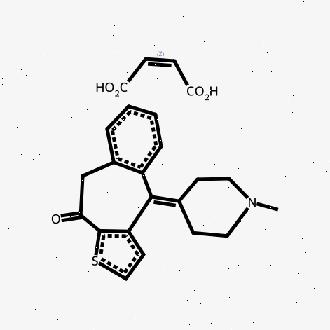 CN1CCC(=C2c3ccccc3CC(=O)c3sccc32)CC1.O=C(O)/C=C\C(=O)O